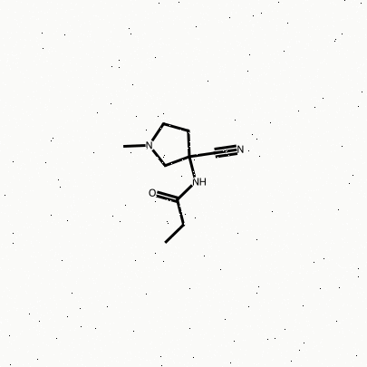 CCC(=O)NC1(C#N)CCN(C)C1